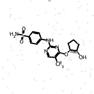 NS(=O)(=O)c1ccc(Nc2ncc(C(F)(F)F)c(O[C@H]3CCC[C@H]3O)n2)cc1